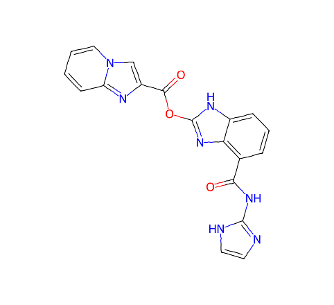 O=C(Oc1nc2c(C(=O)Nc3ncc[nH]3)cccc2[nH]1)c1cn2ccccc2n1